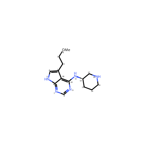 COCCc1c[nH]c2ncnc(N[C@@H]3CCCNC3)c12